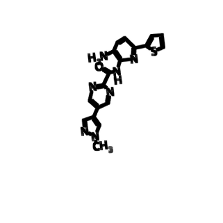 Cn1cc(-c2cnc(C(=O)Nc3nc(-c4cccs4)ccc3N)nc2)cn1